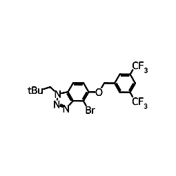 CC(C)(C)Cn1nnc2c(Br)c(OCc3cc(C(F)(F)F)cc(C(F)(F)F)c3)ccc21